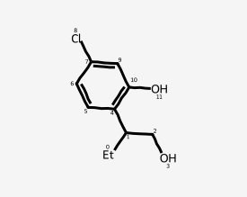 CCC(CO)c1ccc(Cl)cc1O